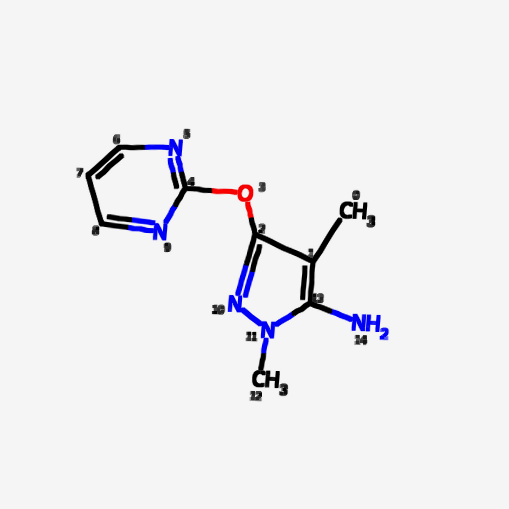 Cc1c(Oc2ncccn2)nn(C)c1N